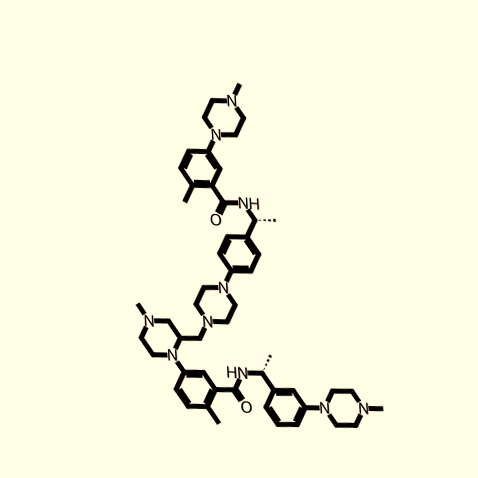 Cc1ccc(N2CCN(C)CC2)cc1C(=O)N[C@H](C)c1ccc(N2CCN(CC3CN(C)CCN3c3ccc(C)c(C(=O)N[C@H](C)c4cccc(N5CCN(C)CC5)c4)c3)CC2)cc1